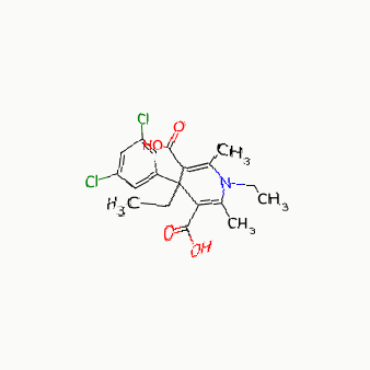 CCN1C(C)=C(C(=O)O)C(CC)(c2cc(Cl)cc(Cl)c2)C(C(=O)O)=C1C